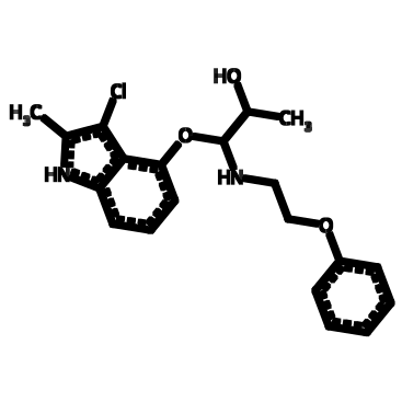 Cc1[nH]c2cccc(OC(NCCOc3ccccc3)C(C)O)c2c1Cl